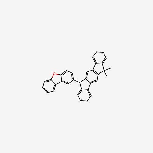 CC1(C)c2ccccc2-c2cc3c(cc21)-c1ccccc1C3c1ccc2oc3ccccc3c2c1